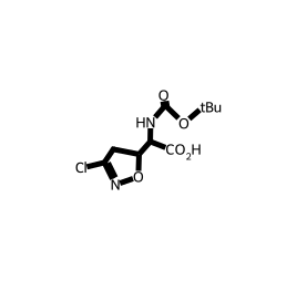 CC(C)(C)OC(=O)NC(C(=O)O)C1CC(Cl)=NO1